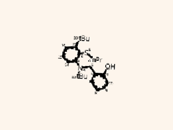 CCCSc1c(N(Cc2ccccc2O)C(C)(C)C)cccc1C(C)(C)C